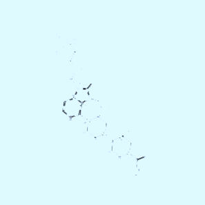 Cn1c(=O)n(COCC[Si](C)(C)C)c2cccc(N3CCN([C@H]4CCN(C(=O)O)CC4(F)F)CC3)c21